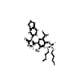 CCCCOP(=O)(OCCCC)Oc1cc(O)c(-c2n[nH]c(=O)n2-c2ccc3c(c2)CCC3)cc1C(C)C